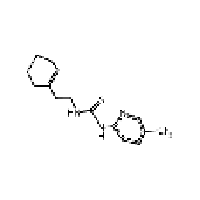 FC(F)(F)c1ccc(NC(=S)NCCC2=CCCCC2)nc1